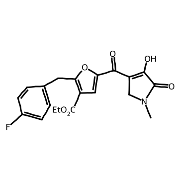 CCOC(=O)c1cc(C(=O)C2=C(O)C(=O)N(C)C2)oc1Cc1ccc(F)cc1